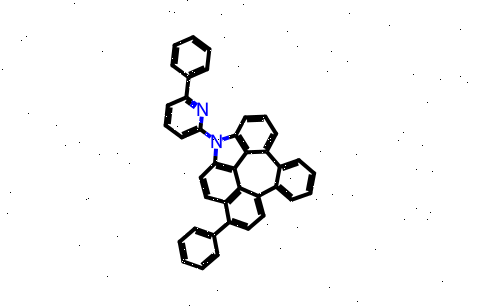 c1ccc(-c2cccc(-n3c4cccc5c4c4c6c(ccc(-c7ccccc7)c6ccc43)-c3ccccc3-5)n2)cc1